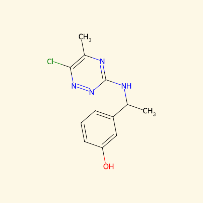 Cc1nc(NC(C)c2cccc(O)c2)nnc1Cl